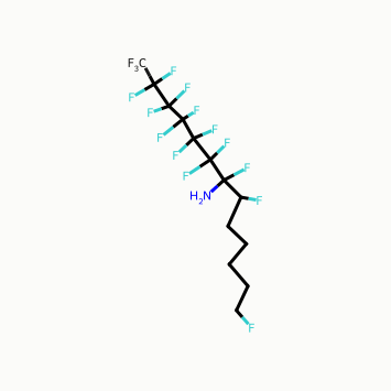 NC(F)(C(F)CCCCCF)C(F)(F)C(F)(F)C(F)(F)C(F)(F)C(F)(F)C(F)(F)F